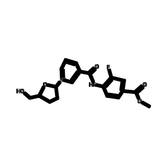 COC(=O)c1ccc(NC(=O)c2ccc[n+](C3CCC(CO)O3)c2)c(F)c1